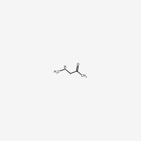 CN[CH]C(C)=O